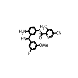 COc1cc(F)cc(C(=N)c2cc(NC(=O)c3ncc(C#N)cc3C)ccc2N)c1